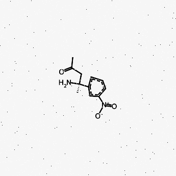 CC(=O)C[C@](C)(N)c1cccc([N+](=O)[O-])c1